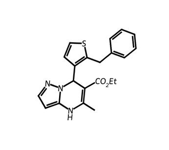 CCOC(=O)C1=C(C)Nc2ccnn2C1c1ccsc1Cc1ccccc1